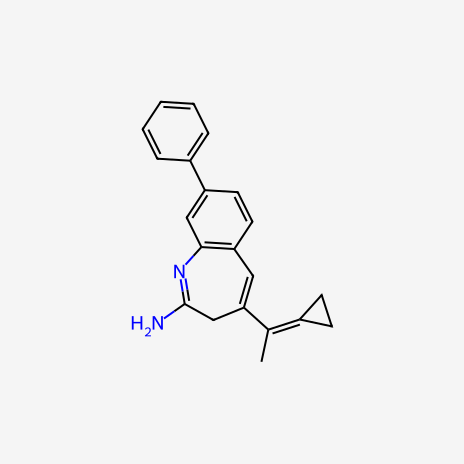 CC(C1=Cc2ccc(-c3ccccc3)cc2N=C(N)C1)=C1CC1